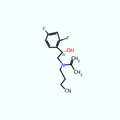 C=C(C)N(CCCC#N)C[C@@H](O)c1ccc(F)cc1F